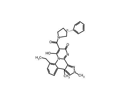 CCc1cccc(CC)c1-n1c(-c2ccn(C)n2)nc(=O)c(C(=O)N2CC[C@H](c3ccccc3)C2)c1O